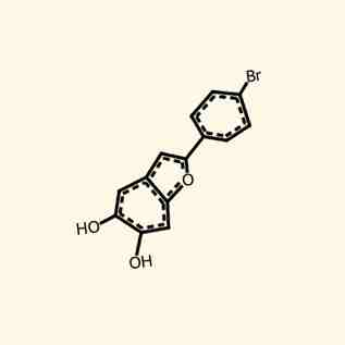 Oc1cc2cc(-c3ccc(Br)cc3)oc2cc1O